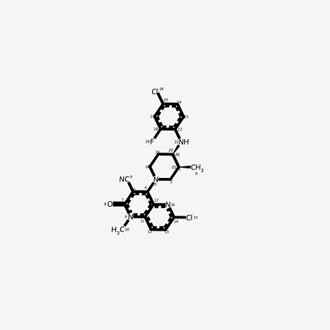 C[C@H]1CN(c2c(C#N)c(=O)n(C)c3ccc(Cl)nc23)CC[C@H]1Nc1ccc(Cl)cc1F